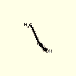 CCCCCCCCCCCCCCCCCCOc1ccc(N=Cc2ccc(O)cc2)cc1